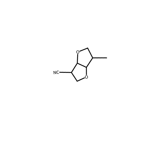 CC1COC2C(C#N)COC12